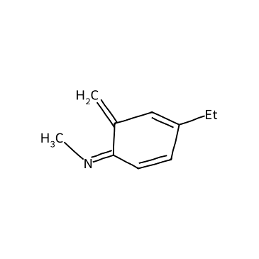 C=C1C=C(CC)C=C/C1=N/C